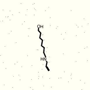 C=CCNCCCCCCCCO